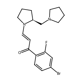 O=C(C=CN1CCC[C@H]1CN1CCCC1)c1ccc(Br)cc1F